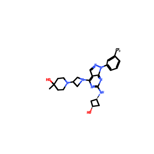 CC1(O)CCN(C2CN(c3nc(N[C@H]4C[C@@H](O)C4)nc4c3cnn4-c3cccc(C(F)(F)F)c3)C2)CC1